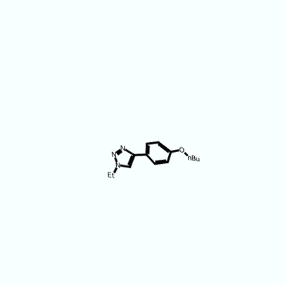 CCCCOc1ccc(-c2cn(CC)nn2)cc1